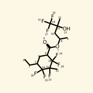 CCC1CC(C(=O)OC(C)CC(C)(O)C(F)(F)F)C(F)(F)C(C)(F)C1(F)F